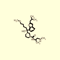 CNCC(C)NC(=O)N1CCC[C@@H]([C@@](O)(CCCCOC)c2cccc3cc(CC(C)C)oc23)C1